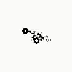 CCC[C@H](N[C@@H](C)C(=O)N1[C@@H](C(=O)OCc2ccccc2)C[C@H]2CCCC[C@H]21)C(=O)OCC